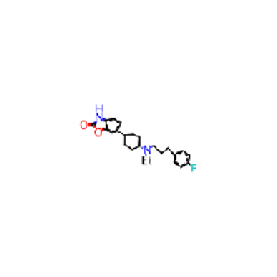 CCN(CCCc1ccc(F)cc1)[C@H]1CC[C@H](c2ccc3[nH]c(=O)oc3c2)CC1